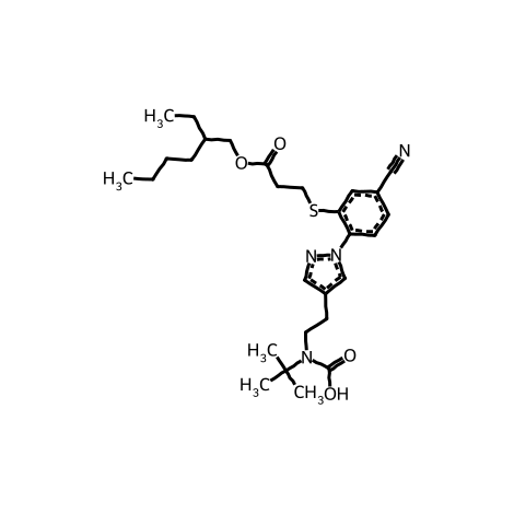 CCCCC(CC)COC(=O)CCSc1cc(C#N)ccc1-n1cc(CCN(C(=O)O)C(C)(C)C)cn1